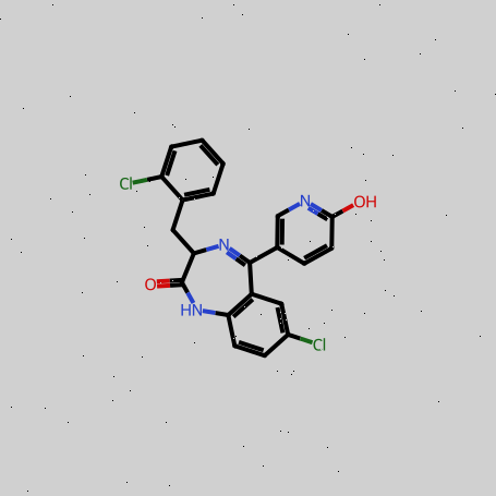 O=C1Nc2ccc(Cl)cc2C(c2ccc(O)nc2)=NC1Cc1ccccc1Cl